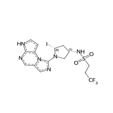 O=S(=O)(CCC(F)(F)F)N[C@H]1C[C@@H](I)N(c2ncc3cnc4[nH]ccc4n23)C1